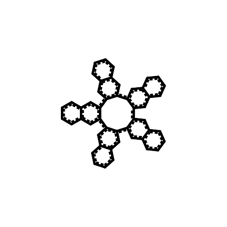 c1ccc2cc3c(cc2c1)c1cc2ccccc2cc1c1cc2ccccc2cc1c1cc2ccccc2cc1c1cc2ccccc2cc31